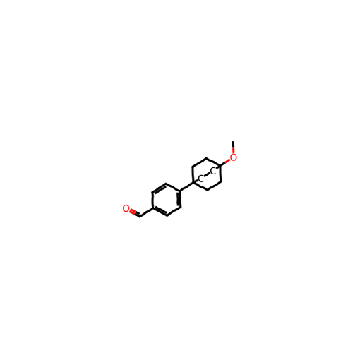 COC12CCC(c3ccc(C=O)cc3)(CC1)CC2